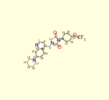 O=C1CN(Cc2ccnc3cc(N4CCCCC4)ccc23)C(=O)N1c1ccc(OC(F)(F)F)cc1